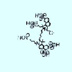 COCC[N+]1=C(/C=C/C=C/C=C2/N(CCCCCC(=O)O)c3ccc4c(S(=O)(=O)O)cc(S(=O)(=O)O)cc4c3C2(C)C)C(C)(CCCS(=O)(=O)O)c2c1ccc1ccc(S(=O)(=O)O)cc21